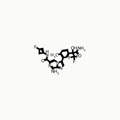 Cc1ccc(C(O)(C(N)=O)C(F)(F)F)cc1-c1cnc2c(N)nc(C(=O)NC34CC(F)(C3)C4)cn12